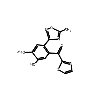 COc1cc(-c2noc(C)n2)c(C(=O)c2nccs2)cc1O